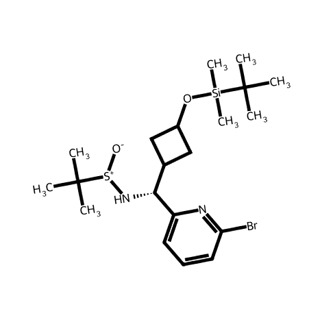 CC(C)(C)[S+]([O-])N[C@@H](c1cccc(Br)n1)C1CC(O[Si](C)(C)C(C)(C)C)C1